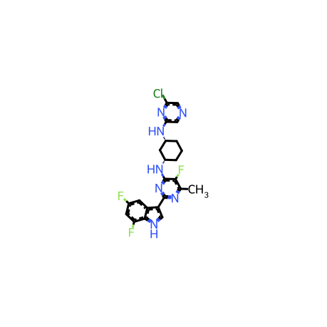 Cc1nc(-c2c[nH]c3c(F)cc(F)cc23)nc(N[C@H]2CCC[C@@H](Nc3cncc(Cl)n3)C2)c1F